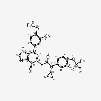 N#Cc1cc(-c2nn(CC(=O)N(c3ccc4c(c3)OC(F)(F)O4)C3CC3)c(=O)c3nc[nH]c23)ccc1OC(F)(F)F